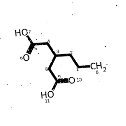 [CH2]CCC(CC(=O)O)CC(=O)O